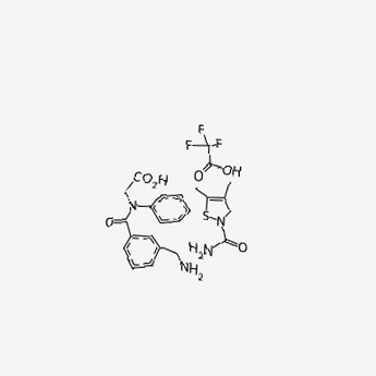 CC1=C(C)SN(C(N)=O)C1.NCc1cccc(C(=O)N(CC(=O)O)c2ccccc2)c1.O=C(O)C(F)(F)F